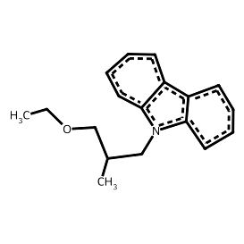 CCOCC(C)Cn1c2ccccc2c2ccccc21